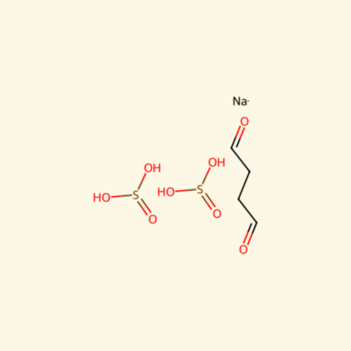 O=CCCC=O.O=S(O)O.O=S(O)O.[Na]